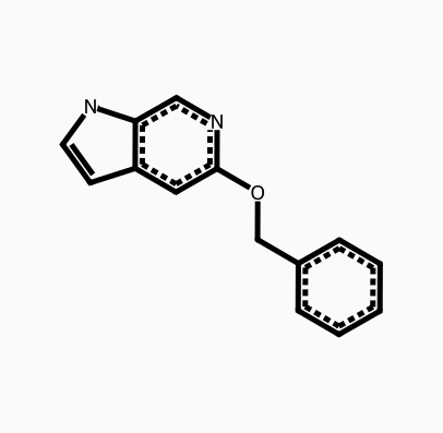 C1=Cc2cc(OCc3ccccc3)ncc2[N]1